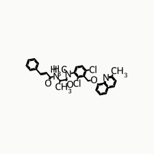 Cc1ccc2cccc(OCc3c(Cl)ccc(N(C)C(=O)C(C)NC(=O)C=Cc4ccccc4)c3Cl)c2n1